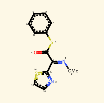 CON=C(C(=O)Sc1ccccc1)c1nccs1